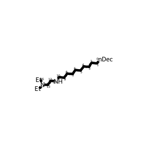 CCCCCCCCCCCCCCCCCCCCNCCN(CC)CC